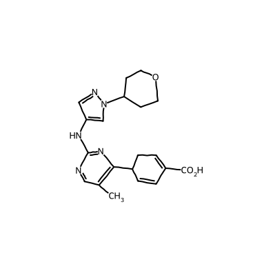 Cc1cnc(Nc2cnn(C3CCOCC3)c2)nc1C1C=CC(C(=O)O)=CC1